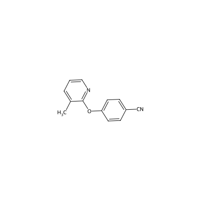 Cc1cccnc1Oc1ccc(C#N)cc1